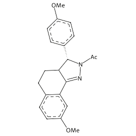 COc1ccc([C@H]2C3CCc4ccc(OC)cc4C3=NN2C(C)=O)cc1